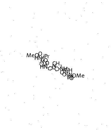 COC(=O)N[C@H](C(=O)N1CCC[C@H]1C(=O)Nc1ccc2c3ccc(NC(=O)[C@@H]4CCCN4C(=O)[C@@H](NC(=O)OC)C(C)C)cc3n(C)c2c1)C(C)C